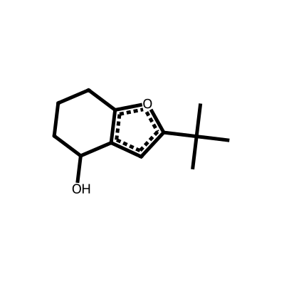 CC(C)(C)c1cc2c(o1)CCCC2O